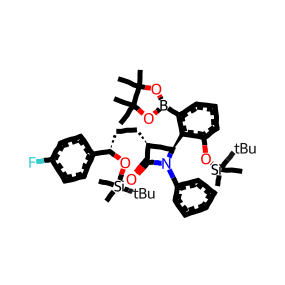 CC1(C)OB(c2cccc(O[Si](C)(C)C(C)(C)C)c2[C@@H]2[C@@H](CC[C@H](O[Si](C)(C)C(C)(C)C)c3ccc(F)cc3)C(=O)N2c2ccccc2)OC1(C)C